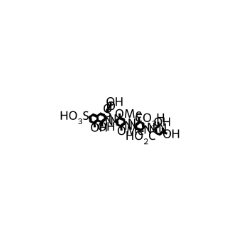 COc1cc(/N=N/c2c(SOOO)cc3cc(S(=O)(=O)O)cc(O)c3c2O)c(OC)cc1/N=N/c1ccc(/N=N/c2c(C(=O)O)cc(O)nc2O)cc1C(=O)O